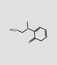 CN(CC(=O)O)C1=CC=CCC1=S